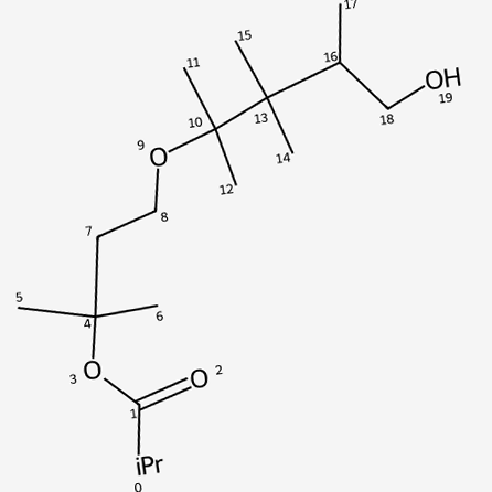 CC(C)C(=O)OC(C)(C)CCOC(C)(C)C(C)(C)C(C)CO